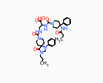 CCCN1CN(c2ccccc2)C2(CCN(C(=O)NCC(NC(=O)N3CCC(NC(=O)CC)(c4ccccc4)CC3)C(=O)O)CC2)C1=O